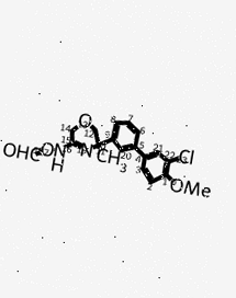 COc1ccc(-c2cccc(C3(C)COCC(NOC=O)=N3)c2)cc1Cl